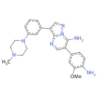 COc1cc(-c2cnc3c(-c4cccc(N5CCN(C)CC5)c4)cnn3c2N)ccc1N